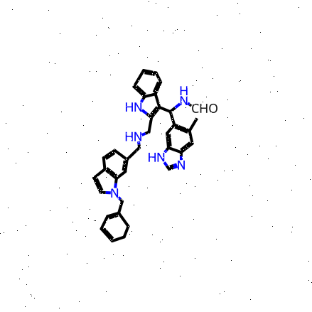 Cc1cc2nc[nH]c2cc1C(NC=O)c1c(CNCc2ccc3ccn(CC4=CC=CCC4)c3c2)[nH]c2ccccc12